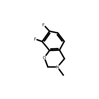 CN1COc2c(ccc(F)c2F)C1